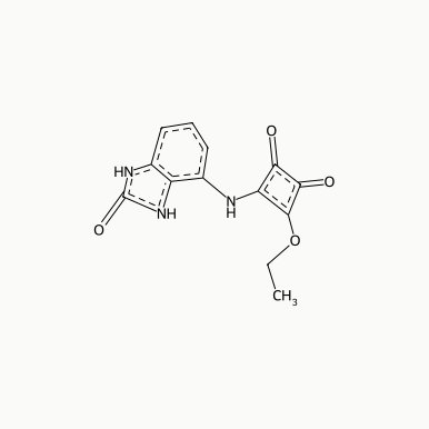 CCOc1c(Nc2cccc3[nH]c(=O)[nH]c23)c(=O)c1=O